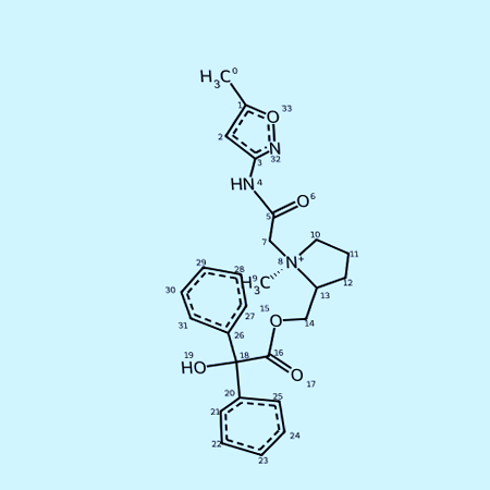 Cc1cc(NC(=O)C[N@@+]2(C)CCCC2COC(=O)C(O)(c2ccccc2)c2ccccc2)no1